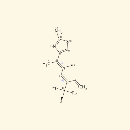 C=C/C(=C\C(F)=C(/C)c1csc(N)n1)C(F)(F)F